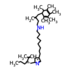 C=C(CCNCCCCCCCCC1C=NC(C[C@H](CCC)C(=C)C)C1)CC1C(C)=C(C)C(C)=C(C)C1C